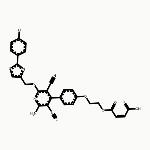 [C-]#[N+]c1c(N)nc(SCc2csc(-c3ccc(Cl)cc3)n2)c(C#N)c1-c1ccc(OCCOC(=O)/C=C\C(=O)O)cc1